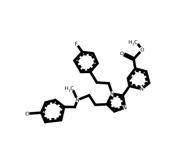 COC(=O)c1ccnc(-c2ncc(CCN(C)Cc3ccc(Cl)cc3)n2CCc2ccc(F)cc2)c1